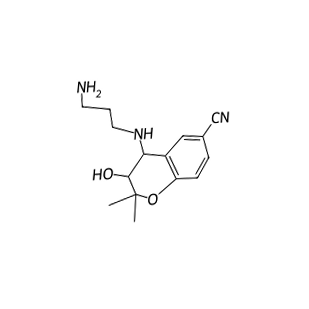 CC1(C)Oc2ccc(C#N)cc2C(NCCCN)C1O